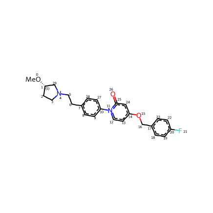 CO[C@H]1CCN(CCc2ccc(-n3ccc(OCc4ccc(F)cc4)cc3=O)cc2)C1